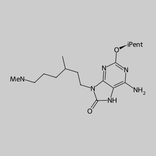 CCC[C@H](C)Oc1nc(N)c2[nH]c(=O)n(CCC(C)CCCNC)c2n1